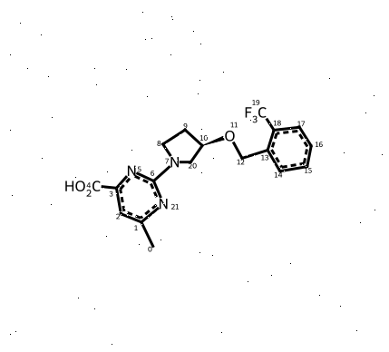 Cc1cc(C(=O)O)nc(N2CC[C@@H](OCc3ccccc3C(F)(F)F)C2)n1